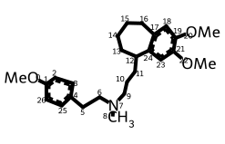 COc1ccc(CCN(C)CCCC2CCCCc3cc(OC)c(OC)cc32)cc1